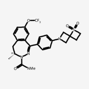 CNC(=O)N1N=C(c2ccc(N3CC4(CCS4(=O)=O)C3)cc2)c2cc(OC(F)(F)F)ccc2C[C@H]1C